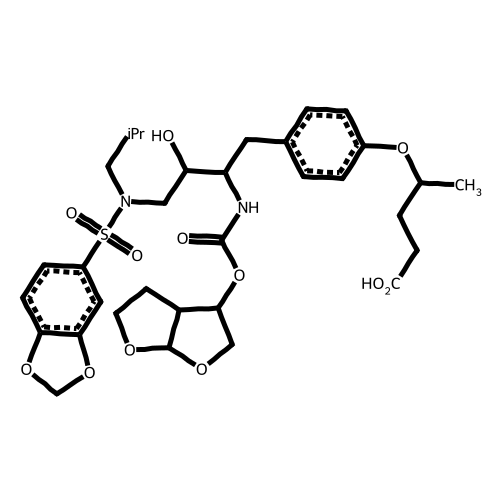 CC(C)CN(CC(O)C(Cc1ccc(OC(C)CCC(=O)O)cc1)NC(=O)OC1COC2OCCC12)S(=O)(=O)c1ccc2c(c1)OCO2